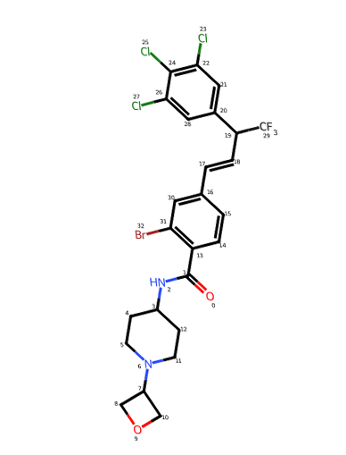 O=C(NC1CCN(C2COC2)CC1)c1ccc(C=CC(c2cc(Cl)c(Cl)c(Cl)c2)C(F)(F)F)cc1Br